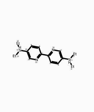 CC[SiH](CC)c1ccc(-c2ccc([SiH](CC)CC)cn2)nc1